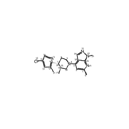 Cc1cc(N2CC[C@@H](c3ncc(Cl)cc3C)[C@H](C)C2)c2cnn(C)c2n1